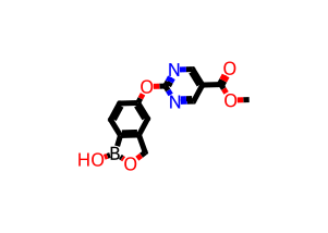 COC(=O)c1cnc(Oc2ccc3c(c2)COB3O)nc1